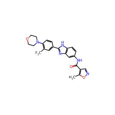 Cc1oncc1C(=O)Nc1ccc2[nH]c(-c3ccc(N4CCOCC4)c(C(F)(F)F)c3)nc2c1